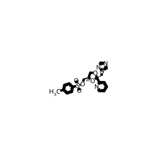 Cc1ccc(S(=O)(=O)OC[C@H]2CO[C@@](Cn3cncn3)(c3ccccn3)O2)cc1